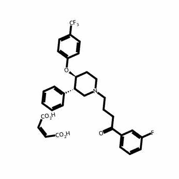 O=C(CCCN1CC[C@H](Oc2ccc(C(F)(F)F)cc2)[C@@H](c2ccccc2)C1)c1cccc(F)c1.O=C(O)/C=C\C(=O)O